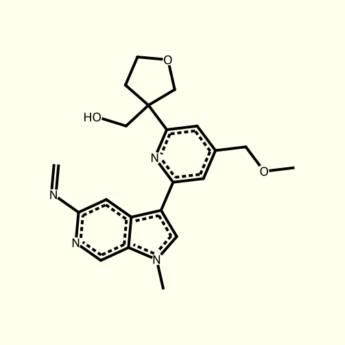 C=Nc1cc2c(-c3cc(COC)cc(C4(CO)CCOC4)n3)cn(C)c2cn1